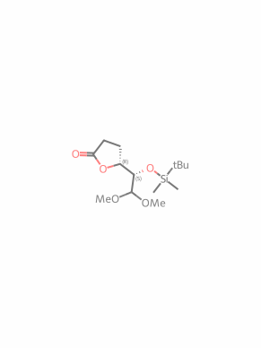 COC(OC)[C@@H](O[Si](C)(C)C(C)(C)C)[C@H]1CCC(=O)O1